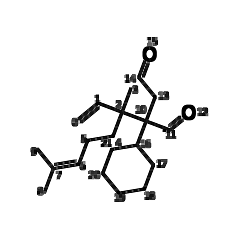 C=CC(C)(CCC=C(C)C)C([C]=O)(CC=O)C1CCCCC1